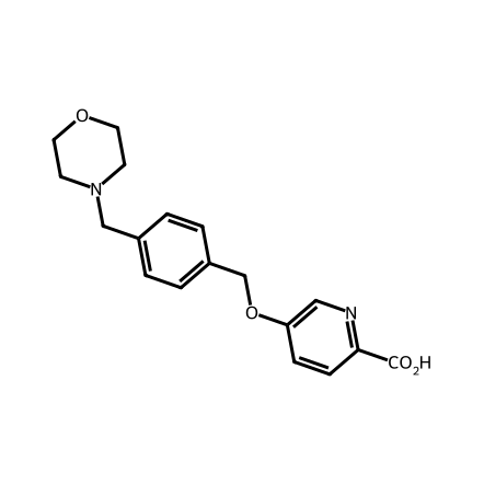 O=C(O)c1ccc(OCc2ccc(CN3CCOCC3)cc2)cn1